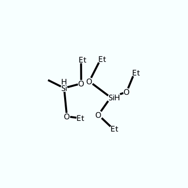 CCO[SiH](C)OCC.CCO[SiH](OCC)OCC